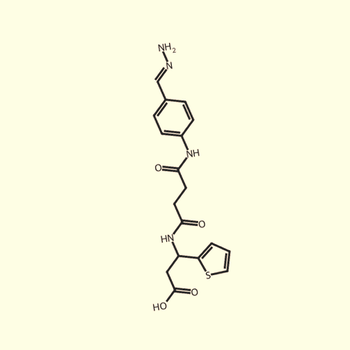 NN=Cc1ccc(NC(=O)CCC(=O)NC(CC(=O)O)c2cccs2)cc1